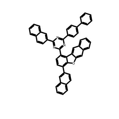 c1ccc(-c2ccc(-c3nc(-c4ccc5ccccc5c4)nc(-c4ccc(-c5ccc6ccccc6c5)c5oc6cc7ccccc7cc6c45)n3)cc2)cc1